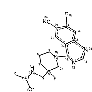 C[S+]([O-])NCC1(C)CCCN(c2ncnc3cc(F)c(C#N)cc23)C1